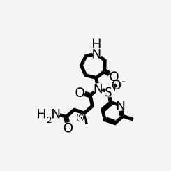 Cc1cccc([S+]([O-])N(C(=O)C[C@@H](C)CC(N)=O)C2CCCNCC2=O)n1